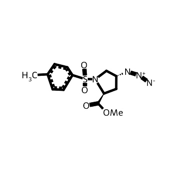 COC(=O)[C@@H]1C[C@@H](N=[N+]=[N-])CN1S(=O)(=O)c1ccc(C)cc1